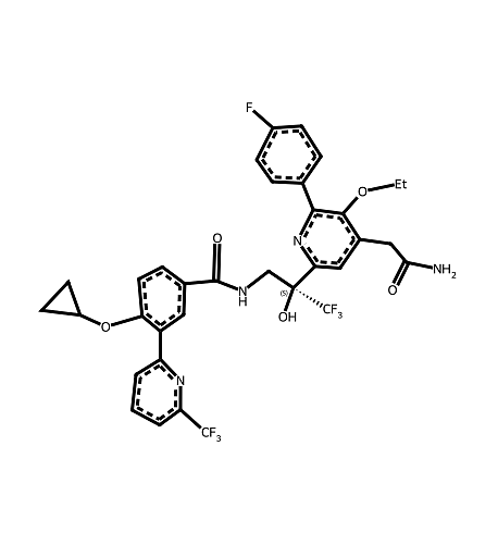 CCOc1c(CC(N)=O)cc([C@@](O)(CNC(=O)c2ccc(OC3CC3)c(-c3cccc(C(F)(F)F)n3)c2)C(F)(F)F)nc1-c1ccc(F)cc1